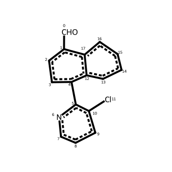 O=Cc1ccc(-c2ncccc2Cl)c2ccccc12